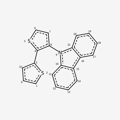 c1csc(-c2sccc2-n2c3ccccc3c3ccccc32)c1